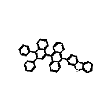 c1ccc(-c2cc(-c3c4ccccc4c(-c4ccc5c(c4)oc4ccccc45)c4ccccc34)c3ccccc3c2-c2ccccc2)cc1